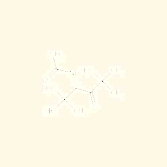 CC(=O)N[C@H](C(=O)C(C)(C)C)C(C)(C)O